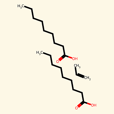 C=CC.CCCCCCCCC(=O)O.CCCCCCCCC(=O)O